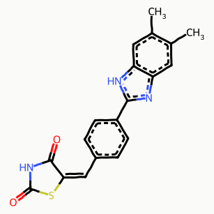 Cc1cc2nc(-c3ccc(C=C4SC(=O)NC4=O)cc3)[nH]c2cc1C